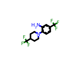 Nc1cc(C(F)(F)F)ccc1N1CCC(C(F)(F)F)CC1